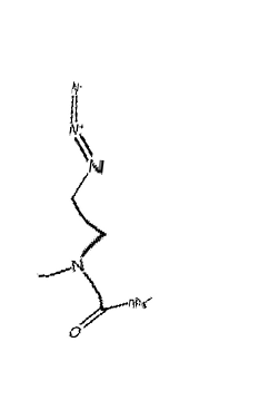 CCCC(=O)N(C)CCN=[N+]=[N-]